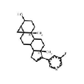 C[C@]12CCC3C(CCC45CC4C(O)CC[C@]35C)C1CC=C2c1cncc(F)c1